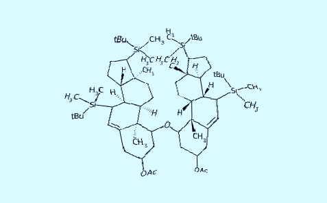 CC(=O)OC1CC2=CC([Si](C)(C)C(C)(C)C)[C@@H]3[C@@H](CC[C@]4(C)C([Si](C)(C)C(C)(C)C)CC[C@@H]34)[C@@]2(C)C(OC2CC(OC(C)=O)CC3=CC([Si](C)(C)C(C)(C)C)[C@@H]4[C@@H](CC[C@]5(C)C([Si](C)(C)C(C)(C)C)CC[C@@H]45)[C@]32C)C1